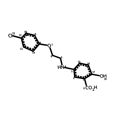 O=C(O)c1cc(NCCOc2ccc(Cl)cc2)ccc1O